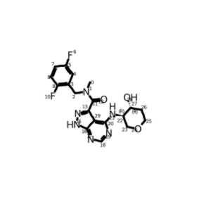 CN(Cc1cc(F)ccc1F)C(=O)c1n[nH]c2ncnc(N[C@@H]3COCC[C@H]3O)c12